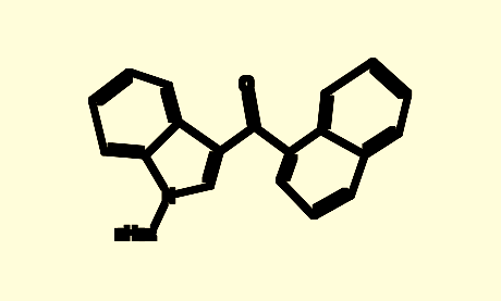 CCCCCCn1cc(C(=O)c2cccc3ccccc23)c2ccccc21